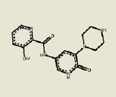 O=C(Nc1c[nH]c(=O)c(N2CCNCC2)c1)c1ncccc1O